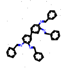 C(=Nc1ccc(-c2ccc(N=Cc3ccccc3)c(N=Cc3ccccc3)c2)cc1N=Cc1ccccc1)c1ccccc1